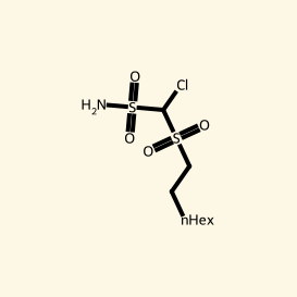 CCCCCCCCS(=O)(=O)C(Cl)S(N)(=O)=O